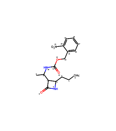 CC(=O)OCCC1NC(=O)C1C(C)NC(=O)OCc1ccccc1[N+](=O)[O-]